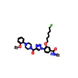 CCNC(=O)c1ccc(-n2cc(C(=O)N3CCN(c4ccccc4OCC)CC3)nn2)c(OCCCCCCF)c1